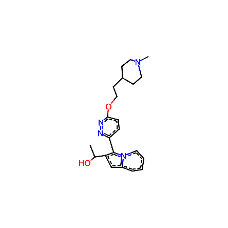 CC(O)c1cc2ccccn2c1-c1ccc(OCCC2CCN(C)CC2)nn1